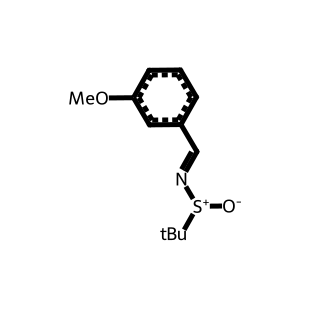 COc1cccc(C=N[S+]([O-])C(C)(C)C)c1